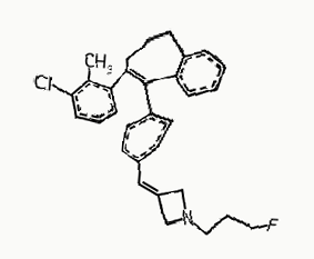 Cc1c(Cl)cccc1C1=C(c2ccc(C=C3CN(CCCF)C3)cc2)c2ccccc2CCC1